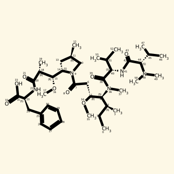 CC[C@H](C)[C@@H]([C@@H](CC(=O)N1C[C@H](C)C[C@H]1[C@H](OC)[C@@H](C)C(=O)N[C@@H](Cc1ccccc1)C(=O)O)OC)N(C)C(=O)[C@@H](NC(=O)[C@H](C(C)C)N(C)C)C(C)C